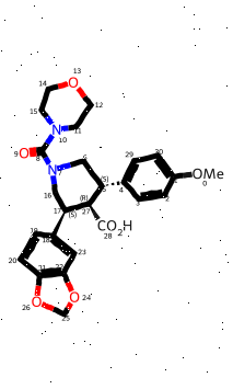 COc1ccc([C@H]2CN(C(=O)N3CCOCC3)C[C@H](c3ccc4c(c3)OCO4)[C@@H]2C(=O)O)cc1